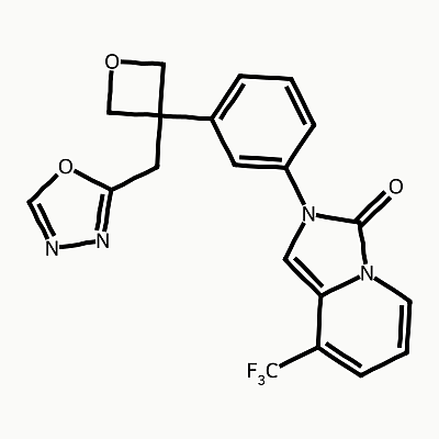 O=c1n(-c2cccc(C3(Cc4nnco4)COC3)c2)cc2c(C(F)(F)F)cccn12